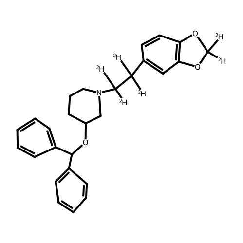 [2H]C1([2H])Oc2ccc(C([2H])([2H])C([2H])([2H])N3CCCC(OC(c4ccccc4)c4ccccc4)C3)cc2O1